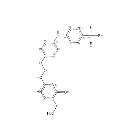 CCc1c[nH]c(OCCc2ccc(Oc3ccc(C(F)(F)F)nc3)cc2)nc1=O